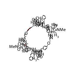 CN[C@@H](C)C(=O)N[C@H](C(=O)N1C[C@@H]2C[C@H]1C(=O)N[C@@H](Cc1ccc3ccccc3c1)C(=O)N[C@H](C(=O)NS(C)(=O)=O)Cc1ccc(cc1)OCc1cn(nn1)[C@H]1C[C@@H](C(=O)N[C@@H](Cc3ccc4ccccc4c3)C(=O)N[C@H](C(=O)NS(C)(=O)=O)Cc3ccc(cc3)OCC3=CN2NN3)N(C(=O)[C@@H](NC(=O)[C@H](C)NC)C(C)(C)C)C1)C(C)(C)C